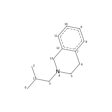 C[C](C)CN1CCc2ccccc2C1